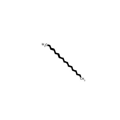 [CH2]CC=CCC=CCCCCCCCCCC